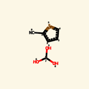 N#Cc1cccs1.OB(O)O